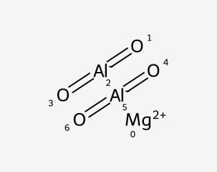 [Mg+2].[O]=[Al-]=[O].[O]=[Al-]=[O]